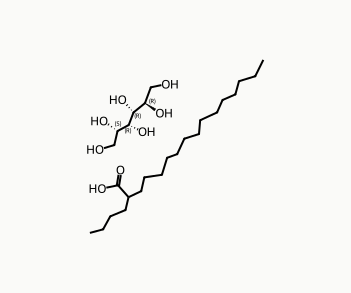 CCCCCCCCCCCCCCC(CCCC)C(=O)O.OC[C@@H](O)[C@@H](O)[C@H](O)[C@@H](O)CO